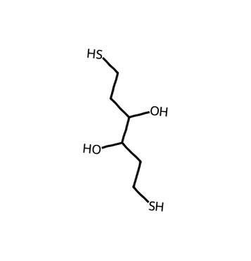 OC(CCS)C(O)CCS